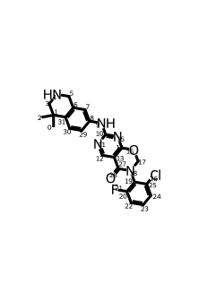 CC1(C)CNCc2cc(Nc3ncc4c(n3)OCN(c3c(F)cccc3Cl)C4=O)ccc21